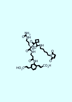 NC(=O)NCCC[C@@H](NC(=O)C1(C(=O)NCCCCCN2C(=O)C=CC2=O)CCC1)C(=O)NCCC(=O)Nc1cc(/C=C/C(=O)O)ccc1/C=C/C(=O)O